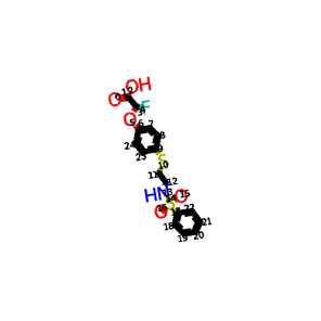 O=C(O)C(F)Oc1ccc(SCCNS(=O)(=O)c2ccccc2)cc1